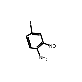 Nc1ccc(I)cc1N=O